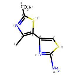 CCOC(=O)c1nc(C)c(-c2csc(N)n2)s1